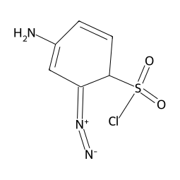 [N-]=[N+]=C1C=C(N)C=CC1S(=O)(=O)Cl